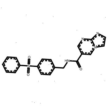 O=C(NCc1ccc(S(=O)(=O)c2ccccc2)cc1)c1cnc2nccn2c1